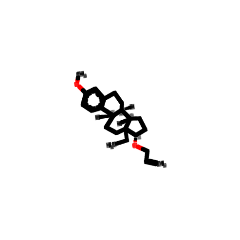 C=CCO[C@H]1CC[C@H]2[C@@H]3CCc4cc(OC)ccc4[C@H]3CCC12CC